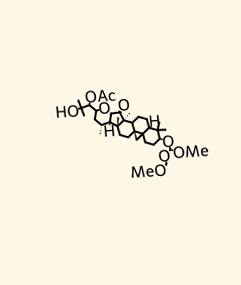 COCO[C@H](OC)O[C@H]1CCC23C[C@]24CC[C@]2(C)[C@@H]5C(OC([C@H](OC(C)=O)C(C)(C)O)C[C@H]5C)C(=O)[C@@]2(C)C4CC[C@H]3C1(C)C